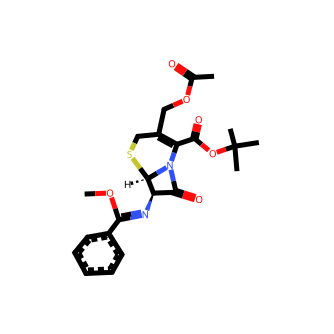 COC(=N[C@@H]1C(=O)N2C(C(=O)OC(C)(C)C)=C(COC(C)=O)CS[C@H]12)c1ccccc1